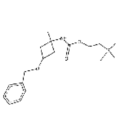 CC1(NC(=O)OCCS(C)(C)C)CC(OCc2ccccc2)C1